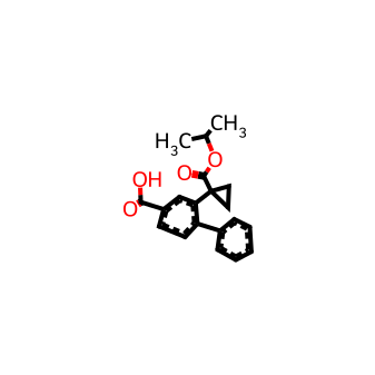 CC(C)OC(=O)C1(c2cc(C(=O)O)ccc2-c2ccccc2)CC1